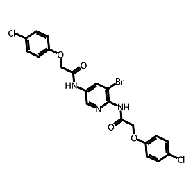 O=C(COc1ccc(Cl)cc1)Nc1cnc(NC(=O)COc2ccc(Cl)cc2)c(Br)c1